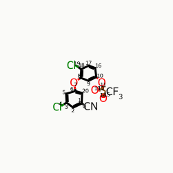 N#Cc1cc(Cl)cc(Oc2cc(OS(=O)(=O)C(F)(F)F)ccc2Cl)c1